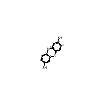 Sc1ccc2c(c1)Sc1ccc(S)cc1S2